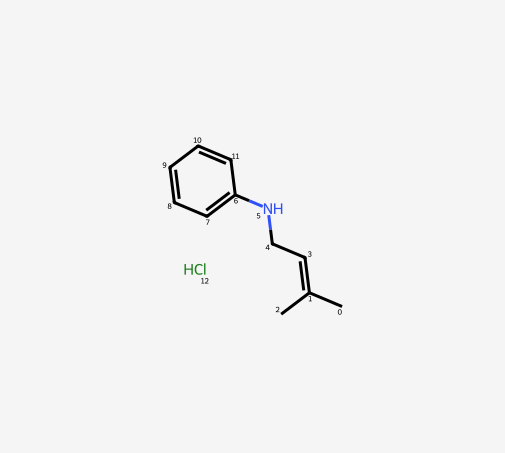 CC(C)=CCNc1ccccc1.Cl